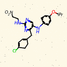 CC(C)Oc1ccc(Nc2cnc(NCC[N+](=O)[O-])nc2CC2=CC=C(Cl)CC2)cc1